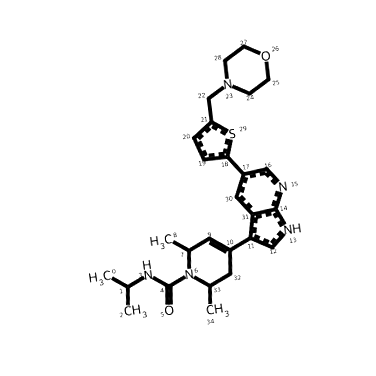 CC(C)NC(=O)N1C(C)C=C(c2c[nH]c3ncc(-c4ccc(CN5CCOCC5)s4)cc23)CC1C